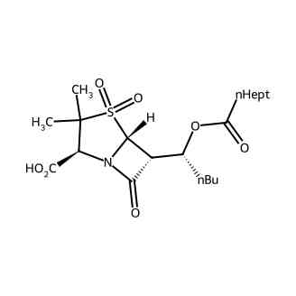 CCCCCCCC(=O)O[C@H](CCCC)[C@@H]1C(=O)N2[C@@H](C(=O)O)C(C)(C)S(=O)(=O)[C@H]12